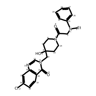 CCN(CC(=O)N1CCC(O)(Cn2cnc3cc(Cl)ccc3c2=O)CC1)c1ccccc1